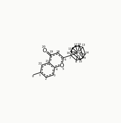 Cc1ccc2oc([C]34[CH]5[CH]6[CH]7[CH]3[Fe]6754389%10[CH]4[CH]3[CH]8[CH]9[CH]4%10)cc(=O)c2c1